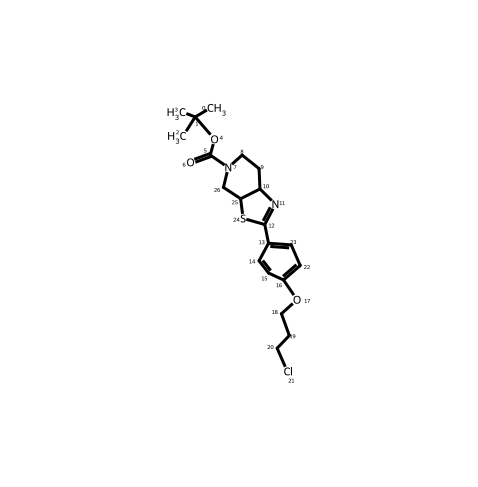 CC(C)(C)OC(=O)N1CCC2N=C(c3ccc(OCCCCl)cc3)SC2C1